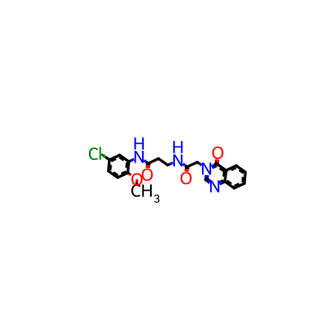 COc1ccc(Cl)cc1NC(=O)CCNC(=O)Cn1cnc2ccccc2c1=O